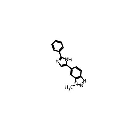 Cn1nnc2ccc(-c3cnc(-c4ccccc4)[nH]3)cc21